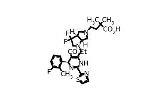 CCOC(=O)C1=C(CN2CC(F)(F)[C@H]3CN(CCC(C)(C)C(=O)O)C[C@H]32)NC(c2nccs2)=N[C@H]1c1cccc(F)c1C